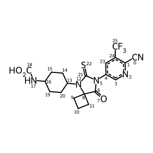 N#Cc1ncc(N2C(=O)C3(CCC3)N(C3CCC(NC(=O)O)CC3)C2=S)cc1C(F)(F)F